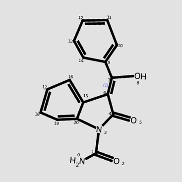 NC(=O)N1C(=O)/C(=C(\O)c2ccccc2)c2c[c]ccc21